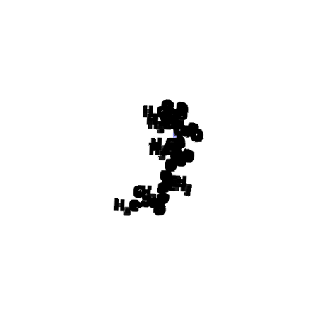 CCCCCCCC1(CCCCCCC)c2ccccc2-c2ccc(-c3ccc4c(c3)C(C)(C)c3cc(-c5ccc(-c6cc7c(c8c6oc6ccccc68)-c6ccc(/C(=C/c8ccc9c(c8)C(C)(C)C8C9=c9oc%10ccccc%10c9=C9c%10ccccc%10C(C)(C)C98)c8ccc9c(c8)C8=CC=CCC8O9)cc6C7(C)C)cc5)ccc3-4)cc21